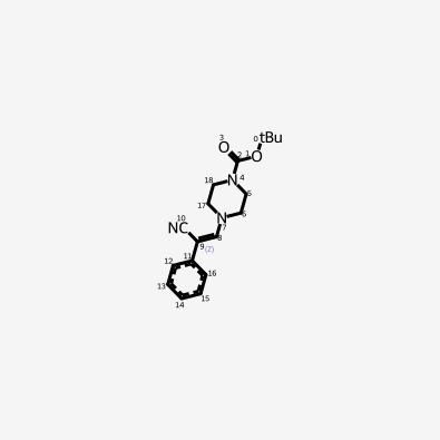 CC(C)(C)OC(=O)N1CCN(/C=C(\C#N)c2ccccc2)CC1